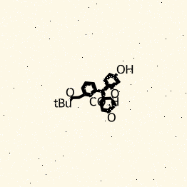 CC(C)(C)C(=O)Cc1cccc(-c2c3ccc(=O)cc-3oc3cc(O)ccc23)c1C(=O)O